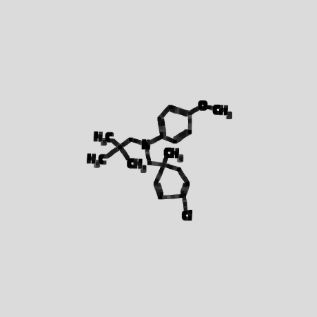 COc1ccc(N(CC(C)(C)C)CC2(C)C=CC(Cl)=CC2)cc1